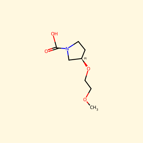 COCCO[C@@H]1CCN(C(=O)O)C1